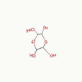 OC1OC(O)C(O)OC1O